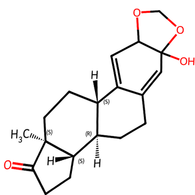 C[C@]12CC[C@@H]3C4=CC5OCOC5(O)C=C4CC[C@H]3[C@@H]1CCC2=O